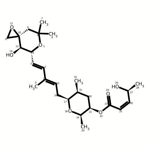 CC(/C=C/[C@H]1OC(C)(C)C[C@@]2(CO2)[C@@H]1O)=C\C[C@@H]1O[C@H](C)[C@H](OC(=O)/C=C\[C@H](C)O)C[C@@H]1C